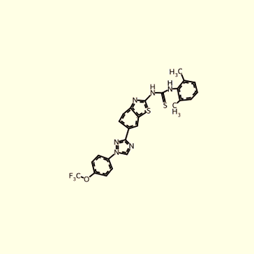 Cc1cccc(C)c1NC(=S)Nc1nc2ccc(-c3ncn(-c4ccc(OC(F)(F)F)cc4)n3)cc2s1